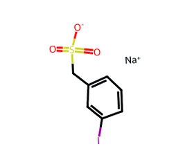 O=S(=O)([O-])Cc1cccc(I)c1.[Na+]